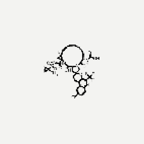 CC1(S(=O)(=O)NC(=O)[C@@]23C[C@H]2C=CCCCCC[C@H](NC(=O)O)C(=O)N2C[C@@]4(CCc5c(c(C(F)(F)F)nc6ccc(Cl)cc56)O4)C[C@H]2C(=O)N3)CC1